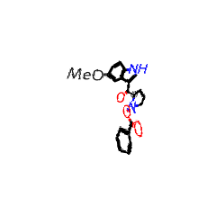 COc1ccc2[nH]cc(C(=O)[C@H]3CCCN3OC(=O)c3ccccc3)c2c1